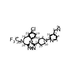 C=NCc1ccnc(N2CCC(c3nnc4n3-c3ccc(Cl)cc3CN(CC(F)(F)F)C4)CC2)c1